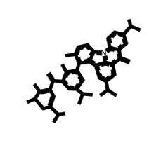 C=C(C1=C(C)C(C)CC(C(C)C)=C1)c1cc(C(C)C)cc(-c2c(C)ccc3c2c2cc(C(C)C)cc4c(=C)c5cc(C(C)C)ccc5n3c42)c1C